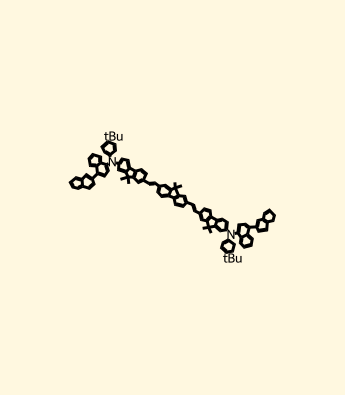 CC(C)(C)C1=CC=C(N(c2ccc3c(c2)C(C)(C)c2cc(/C=C/c4ccc5c(c4)C(C)(C)c4cc(/C=C/c6ccc7c(c6)C(C)(C)c6cc(N(c8ccc(C(C)(C)C)cc8)c8ccc(-c9ccc%10ccccc%10c9)c9ccccc89)ccc6-7)ccc4-5)ccc2-3)c2ccc(-c3ccc4c(c3)C=CCC4)c3ccccc23)CC1